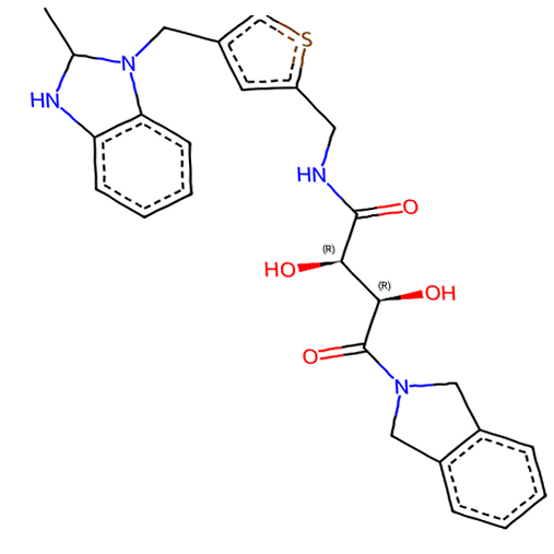 CC1Nc2ccccc2N1Cc1csc(CNC(=O)[C@H](O)[C@@H](O)C(=O)N2Cc3ccccc3C2)c1